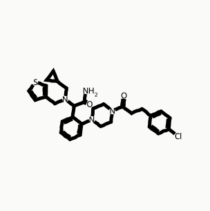 NC(=O)C(c1ccccc1N1CCN(C(=O)[CH]Cc2ccc(Cl)cc2)CC1)N(Cc1ccsc1)CC1CC1